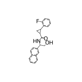 O=C(NC(CO)c1ccc2ccccc2c1)C1CC1c1ccccc1F